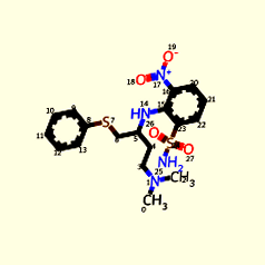 CN(C)CCC(CSc1ccccc1)Nc1c([N+](=O)[O-])cccc1S(N)(=O)=O